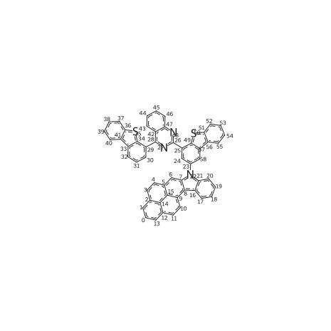 c1cc2ccc3cc4c(c5ccc(c1)c2c35)c1ccccc1n4-c1cc(-c2nc(-c3cccc4c3sc3ccccc34)c3ccccc3n2)c2sc3ccccc3c2c1